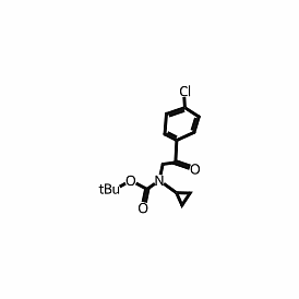 CC(C)(C)OC(=O)N(CC(=O)c1ccc(Cl)cc1)C1CC1